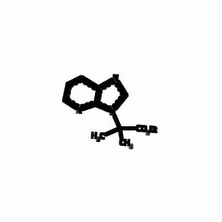 CCOC(=O)C(C)(C)n1cnc2cccnc21